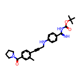 Cc1cc(C(=O)N2CCCC2)ccc1C#CCNc1ccc(C(=N)NC(=O)OC(C)(C)C)cc1